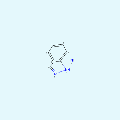 [N].c1ccc2[nH]ncc2c1